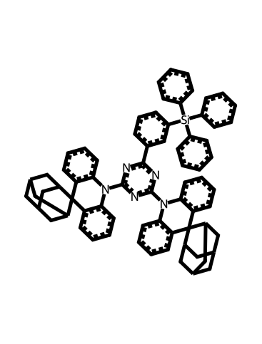 c1ccc([Si](c2ccccc2)(c2ccccc2)c2cccc(-c3nc(N4c5ccccc5C5(c6ccccc64)C4CC6CC(C4)CC5C6)nc(N4c5ccccc5C5(c6ccccc64)C4CC6CC(C4)CC5C6)n3)c2)cc1